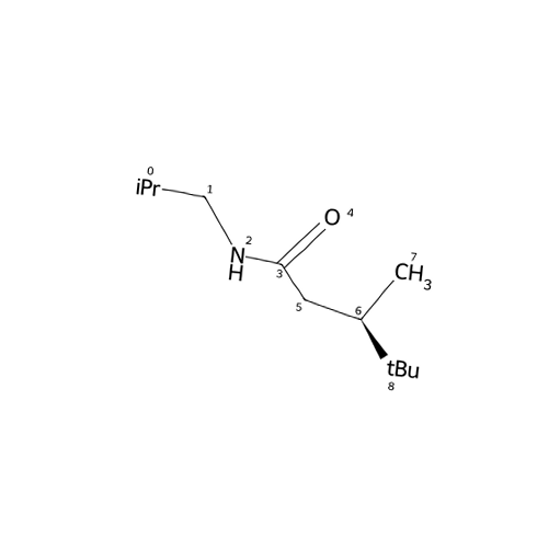 CC(C)CNC(=O)C[C@@H](C)C(C)(C)C